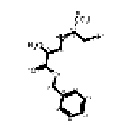 CC(C)C[C@H](NCC(C)C(=O)OCc1ccccc1)C(=O)O